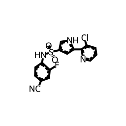 N#Cc1ccc(NS(=O)(=O)c2c[nH]c(-c3ncccc3Cl)c2)c(F)c1